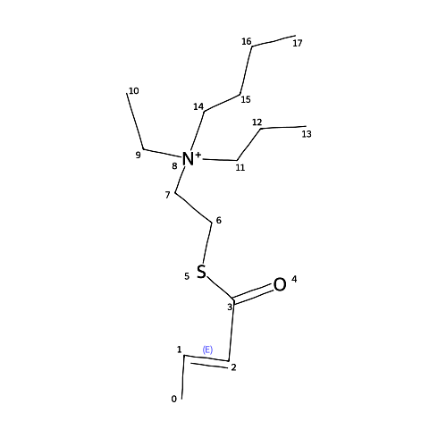 C/C=C/C(=O)SCC[N+](CC)(CCC)CCCC